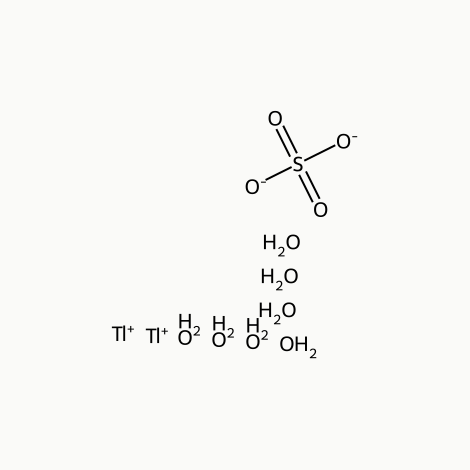 O.O.O.O.O.O.O.O=S(=O)([O-])[O-].[Tl+].[Tl+]